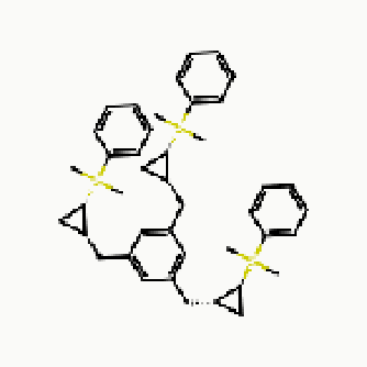 CS(C)(c1ccccc1)[C@H]1C[C@@H]1Cc1cc(C[C@H]2C[C@@H]2S(C)(C)c2ccccc2)cc(C[C@H]2C[C@@H]2S(C)(C)c2ccccc2)c1